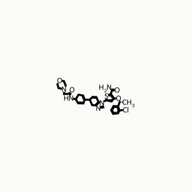 C[C@@H](Oc1cc(-n2cnc3c2C=CC(C2=CCC(NC(=O)CN4CCOCC4)C=C2)C3)sc1C(N)=O)c1ccccc1Cl